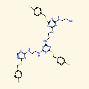 NCCNc1nc(NCCNc2nc(NCCNc3ncnc(SCc4ccc(Cl)cc4)n3)nc(SCc3ccc(Cl)cc3)n2)nc(SCc2ccc(Cl)cc2)n1